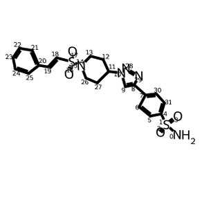 NS(=O)(=O)c1ccc(-c2cn(C3CCN(S(=O)(=O)C=Cc4ccccc4)CC3)nn2)cc1